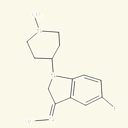 CN1CCC(N2C/C(=N\O)c3cc(F)ccc32)CC1